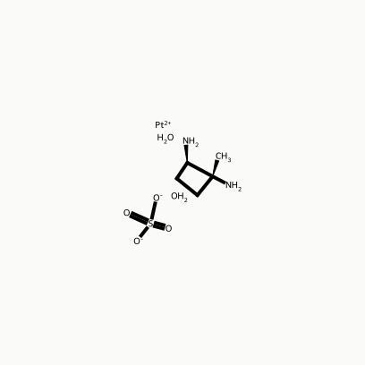 C[C@@]1(N)CC[C@H]1N.O.O.O=S(=O)([O-])[O-].[Pt+2]